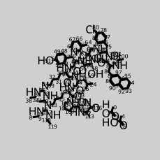 CC(=O)O.CC(=O)O.CCNC(=NCCCC[C@H](NC(=O)[C@H](CC(C)C)NC(=O)[C@@H](CCCCN=C(NCC)NCC)NC(=O)[C@@H](Cc1ccc(O)cc1)NC(=O)[C@@H](CO)NC(=O)[C@H](Cc1cccnc1)NC(=O)[C@H](Cc1ccc(Cl)cc1)NC(=O)C(Cc1ccc2ccccc2c1)NC(C)=O)C(=O)N1CCCC1C(=O)N[C@H](C)C(N)=O)NCC